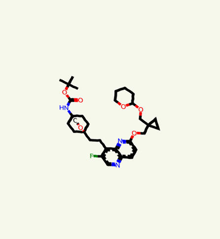 CC(C)(C)OC(=O)NC12CCC(CCc3c(F)cnc4ccc(OCC5(COC6CCCCO6)CC5)nc34)(CC1)OC2